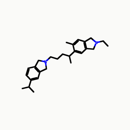 CCN1Cc2cc(C)c(C(C)CCCN3Cc4ccc(C(C)C)cc4C3)cc2C1